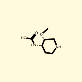 CO[C@@H]1CNCC[C@@H]1NC(=O)O